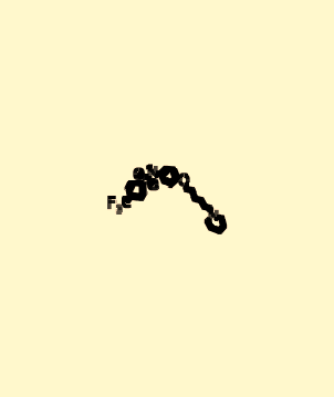 CN(c1ccc(OCCCCCCN2CCCCC2)cc1)S(=O)(=O)c1ccc(C(F)(F)F)cc1